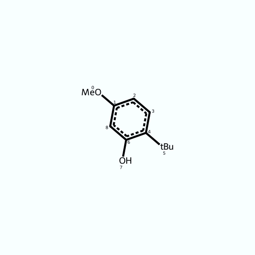 COc1ccc(C(C)(C)C)c(O)c1